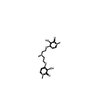 CN(CCOc1ccn(C)c(=O)c1O)CCOc1ccn(C)c(=O)c1O